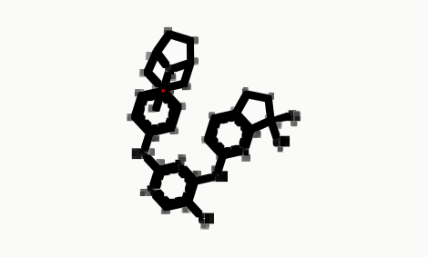 CC[C@]1(O)CCc2ccc(Nc3nc(Nc4ccc(N5C6CCC5CN(C)C6)cc4)ncc3C#N)nc21